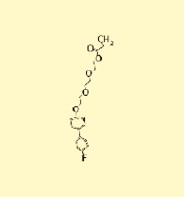 C=CC(=O)OCCOCCOCCOc1ccc(-c2ccc(F)cc2)cc1